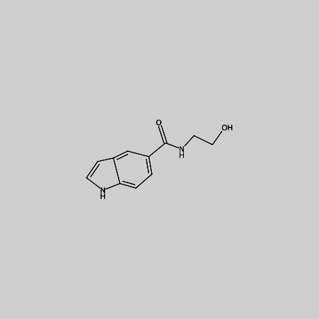 O=C(NCCO)c1ccc2[nH]ccc2c1